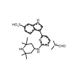 CC1(C)CC(Nc2nccc(-c3c[nH]c4cc(S(=O)(=O)O)ccc34)n2)CC(C)(C)N1.CN(C)C=O